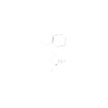 C=Cc1ccccc1[C@H]1CC(=O)N1